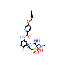 CC#CCOc1ccc(C(=O)Nc2ccc(F)c([C@]3(C)CS(O)(O)C4(CN(C)C4)C(=N)N3)c2)nc1